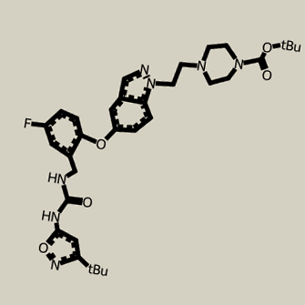 CC(C)(C)OC(=O)N1CCN(CCn2ncc3cc(Oc4ccc(F)cc4CNC(=O)Nc4cc(C(C)(C)C)no4)ccc32)CC1